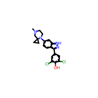 CN1CCN(c2ccc3c(-c4cc(Cl)c(O)c(Cl)c4)n[nH]c3c2)C2(CC2)C1